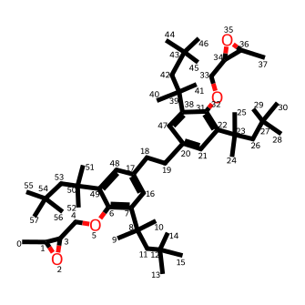 CC1OC1COc1c(C(C)(C)CC(C)(C)C)cc(CCc2cc(C(C)(C)CC(C)(C)C)c(OCC3OC3C)c(C(C)(C)CC(C)(C)C)c2)cc1C(C)(C)CC(C)(C)C